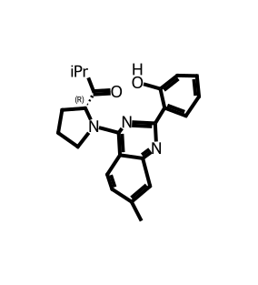 Cc1ccc2c(N3CCC[C@@H]3C(=O)C(C)C)nc(-c3ccccc3O)nc2c1